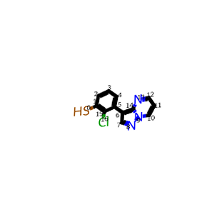 Sc1cccc(-c2cnn3cccnc23)c1Cl